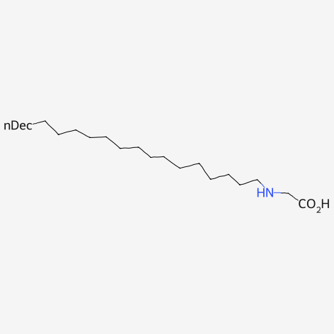 CCCCCCCCCCCCCCCCCCCCCCCCCNCC(=O)O